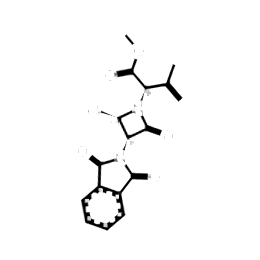 C=C(C)[C@H](C(=O)OC)N1C(=O)[C@@H](N2C(=O)c3ccccc3C2=O)[C@H]1Cl